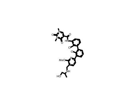 COc1nc(-c2cccc(-c3cccc(NC(=O)c4cn(C)c(=O)n(C)c4=O)c3Cl)c2Cl)ccc1CNC(C)CO